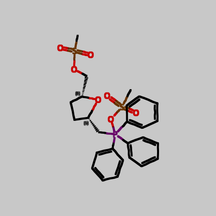 CS(=O)(=O)OC[C@H]1CC[C@@H](CP(OS(C)(=O)=O)(c2ccccc2)(c2ccccc2)c2ccccc2)O1